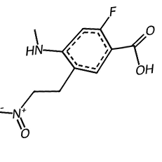 CNc1cc(F)c(C(=O)O)cc1CC[N+](=O)[O-]